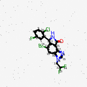 O=C1NC(c2cc(F)ccc2Cl)c2c(Br)cc3c(ncn3CC(F)F)c21